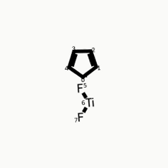 [CH]1C=CC=C1.[F][Ti][F]